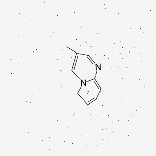 CC1=CN2CC=CC=C2N=C1